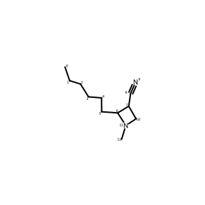 CCCCCCC1C(C#N)CN1C